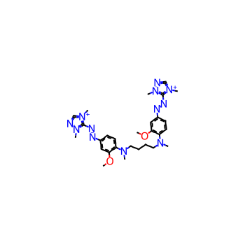 COc1cc(N=Nc2n(C)nc[n+]2C)ccc1N(C)CCCCN(C)c1ccc(N=Nc2n(C)nc[n+]2C)cc1OC